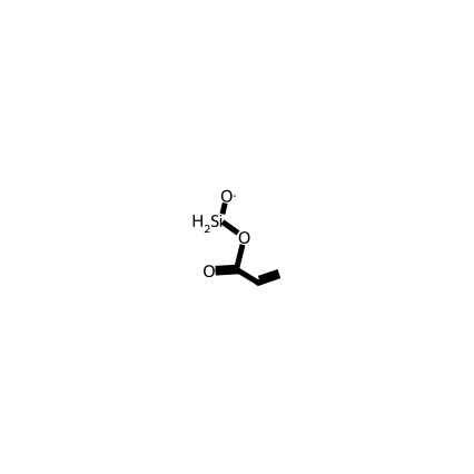 C=CC(=O)O[SiH2][O]